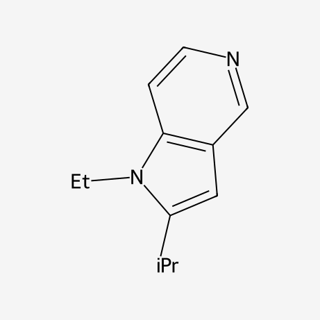 CCn1c(C(C)C)cc2cnccc21